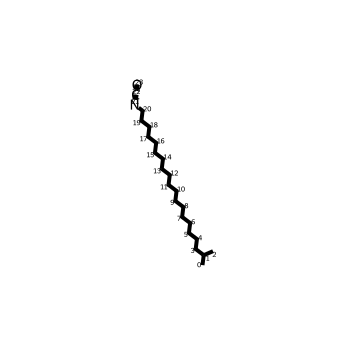 CC(C)CCCCCCCCCCCCCCCCCCN=C=O